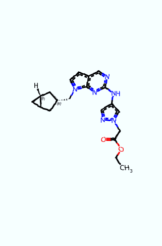 CCOC(=O)Cn1cc(Nc2ncc3ccn(C[C@@H]4CC5C[C@@H]5C4)c3n2)cn1